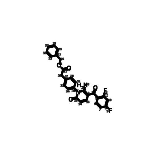 Nc1c(C(=O)c2ccc(F)cc2F)ccc(=O)n1-c1ccc(CC(=O)OCc2ccccc2)cc1